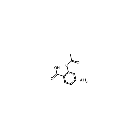 CC(=O)Oc1ccccc1C(=O)O.[AlH2]